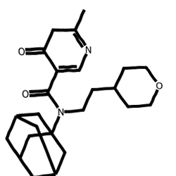 CC1=NC=C(C(=O)N(CCC2CCOCC2)C23CC4CC(CC(C4)C2)C3)C(=O)C1